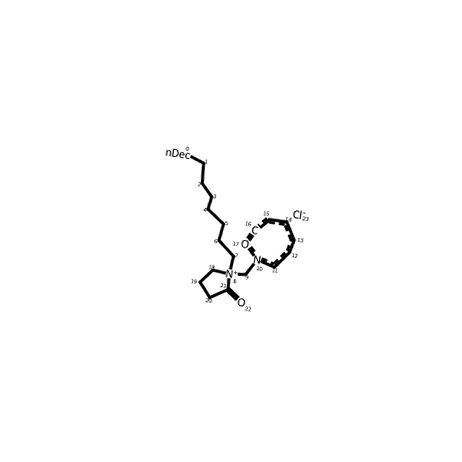 CCCCCCCCCCCCCCCCC[N+]1(Cn2cccccco2)CCCC1=O.[Cl-]